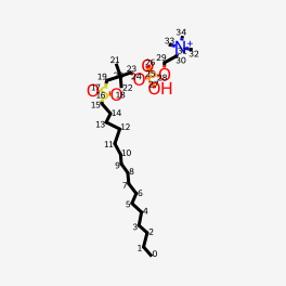 CCCCCCCCCCCCCCCCS(=O)(=O)CC(C)(C)COP(=O)(O)OCC[N+](C)(C)C